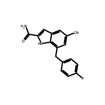 N#Cc1cc(Cc2ccc(F)cc2)c2[nH]c(C(N)=O)cc2c1